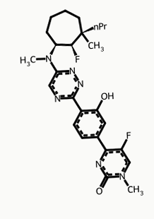 CCC[C@]1(C)CCCC[C@H](N(C)c2cnc(-c3ccc(-c4nc(=O)n(C)cc4F)cc3O)nn2)[C@@H]1F